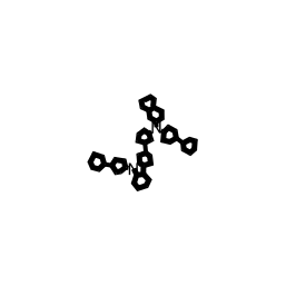 c1ccc(-c2ccc(N(c3cccc(-c4ccc5c6ccccc6n(-c6ccc(-c7ccccc7)cc6)c5c4)c3)c3ccc4ccccc4c3)cc2)cc1